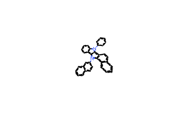 c1ccc(-n2c3ccccc3c3c2c2ccc4ccccc4c2n3-c2ccc3ccccc3c2)cc1